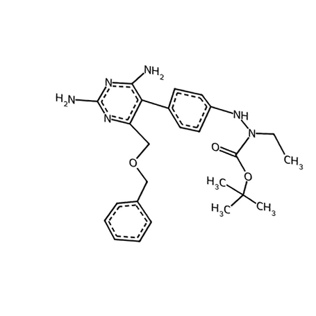 CCN(Nc1ccc(-c2c(N)nc(N)nc2COCc2ccccc2)cc1)C(=O)OC(C)(C)C